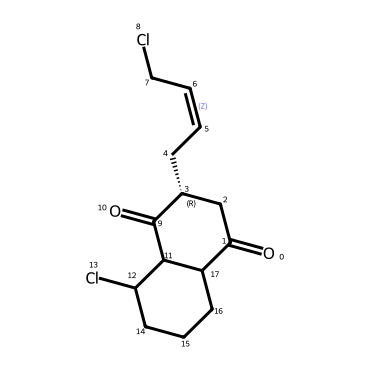 O=C1C[C@@H](C/C=C\CCl)C(=O)C2C(Cl)CCCC12